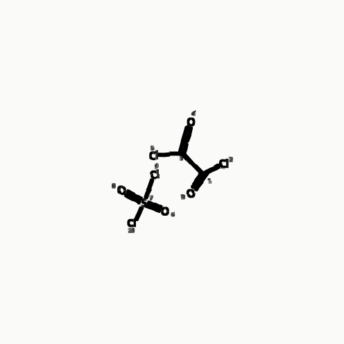 O=C(Cl)C(=O)Cl.O=S(=O)(Cl)Cl